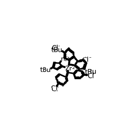 CCCC1C=C(C(C)(C)C)C=[C]1[Zr+2](=[C](c1ccc(Cl)cc1)c1ccc(Cl)cc1)[CH]1c2cc(C(C)(C)C)ccc2-c2ccc(C(C)(C)C)cc21.[Cl-].[Cl-]